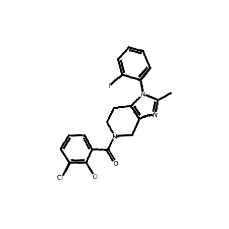 Cc1nc2c(n1-c1ccccc1I)CCN(C(=O)c1cccc(Cl)c1Cl)C2